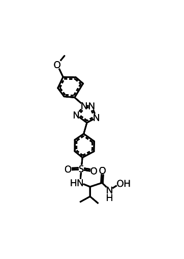 COc1ccc(-n2nnc(-c3ccc(S(=O)(=O)NC(C(=O)NO)C(C)C)cc3)n2)cc1